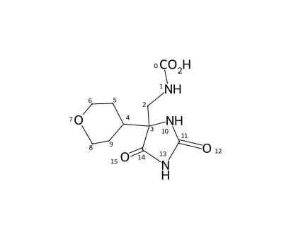 O=C(O)NCC1(C2CCOCC2)NC(=O)NC1=O